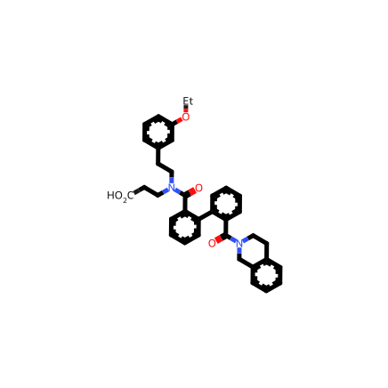 CCOc1cccc(CCN(CCC(=O)O)C(=O)c2ccccc2-c2ccccc2C(=O)N2CCc3ccccc3C2)c1